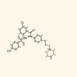 O=C(Nc1ccc(SCCN2CCOCC2)cc1)c1cc(Cl)ccc1NS(=O)(=O)c1ccc(Cl)cc1